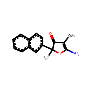 CC(=O)OC1=C(N)OC(C)(c2ccc3ccccc3c2)C1=O